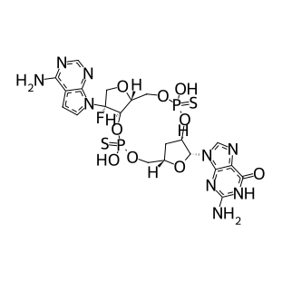 Nc1nc2c(ncn2[C@@H]2O[C@@H]3COP(O)(=S)O[C@@H]4[C@@H](COP(O)(=S)O[C@@H]2C3)OC[C@]4(F)n2ccc3c(N)ncnc32)c(=O)[nH]1